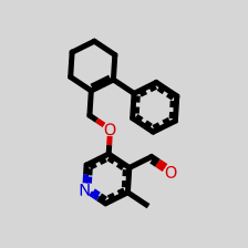 Cc1cncc(OCC2=C(c3ccccc3)CCCC2)c1C=O